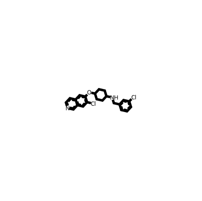 Clc1cccc(CNC2CCC(Oc3cc4ccncc4cc3Cl)CC2)c1